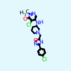 Cn1ncc(NC2CCCN(Cc3nc(-c4ccc(Cl)cc4)no3)C2)c(Cl)c1=O